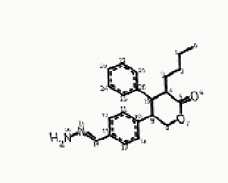 CCCCC1C(=O)OCC(c2ccc(C=NN)cc2)C1c1ccccc1